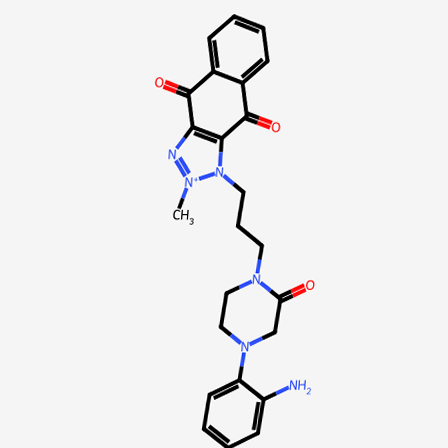 C[n+]1nc2c(n1CCCN1CCN(c3ccccc3N)CC1=O)C(=O)c1ccccc1C2=O